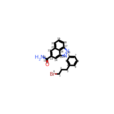 BrCCCc1ccccc1.NC(=O)c1cc2c3c(cccc3c1)N=N2